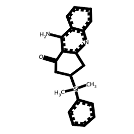 C[Si](C)(c1ccccc1)C1CC(=O)c2c(nc3ccccc3c2N)C1